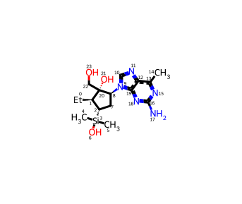 CC[C@@H]1[C@@H]([Si](C)(C)O)C[C@H](n2cnc3c(C)nc(N)nc32)[C@]1(O)CO